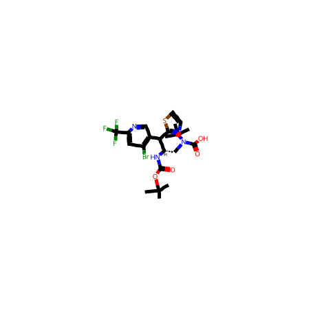 CC(C)(C)OC(=O)N[C@@H](CN(C(=O)O)C(C)(C)C)C(c1nccs1)c1cnc(C(F)(F)F)cc1Br